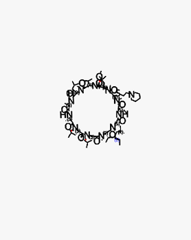 C/C=C/C[C@@H](C)C[C@H]1C(=O)N[C@@H](CC)C(=O)N(C)[C@H](SCCN2CCCCC2)C(=O)N(C)[C@@H](CC(C)(C)OC)C(=O)N[C@H](C(C)C)C(=O)N(C)[C@H](CC(C)C)C(=O)N[C@H](C)C(=O)N[C@@H](C)C(=O)N(C)[C@@H](CC(C)C)C(=O)N(C)[C@@H](CC(C)C)C(=O)N(C)[C@@H](C(C)C)C(=O)N1C